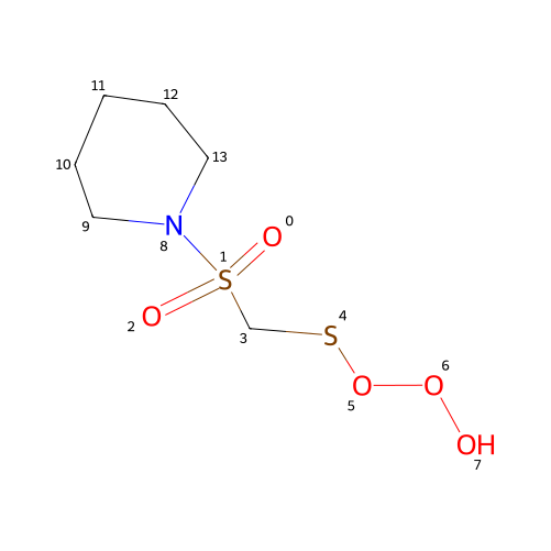 O=S(=O)(CSOOO)N1CCCCC1